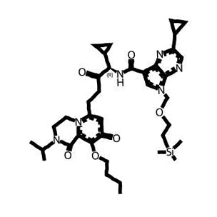 CCCCOc1c2n(c(CCC(=O)[C@H](NC(=O)c3cn(COCC[Si](C)(C)C)c4ncc(C5CC5)nc34)C3CC3)cc1=O)CCN(C(C)C)C2=O